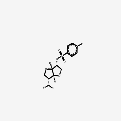 Cc1ccc(S(=O)(=O)O[C@@H]2CO[C@H]3[C@@H]2OC[C@H]3C(F)F)cc1